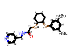 CC(C)(C)c1cc(SC2CCCCC2SCC(=O)NCc2ccncc2)cc(C(C)(C)C)c1